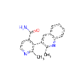 Cc1nc2ccccc2cc1-c1c(C(N)=O)ccnc1C